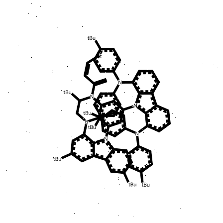 C=C(/C=C\CC)N1c2cc(-n3c4c(N(c5ccc(C(C)(C)C)cc5)c5ccc(C(C)(C)C)cc5)cccc4c4cccc(N(c5ccc(C(C)(C)C)cc5)c5ccc(C(C)(C)C)cc5)c43)cc3c2B(CC1C(C)(C)C)c1cc(C(C)(C)C)cc2c4cc(C(C)(C)C)ccc4n-3c12